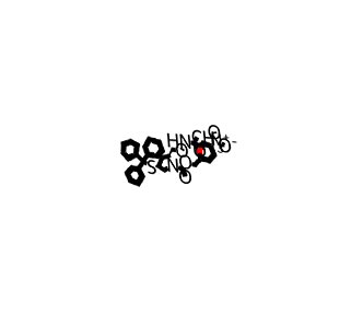 CC(=O)NOC[C@@H]1C[C@H](SC(c2ccccc2)(c2ccccc2)c2ccccc2)CN1C(=O)OCc1ccc([N+](=O)[O-])cc1